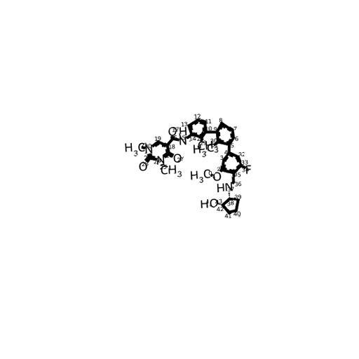 COc1cc(-c2cccc(-c3cccc(NC(=O)c4cn(C)c(=O)n(C)c4=O)c3C)c2C)cc(F)c1CN[C@@H]1CCC[C@@H]1O